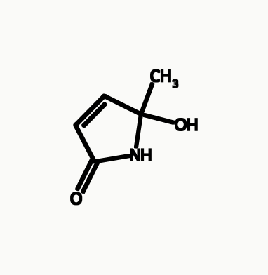 CC1(O)C=CC(=O)N1